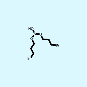 OB(OCCCBr)OCCCBr